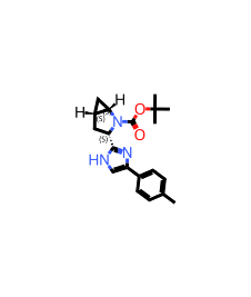 Cc1ccc(-c2c[nH]c([C@@H]3C[C@@H]4C[C@@H]4N3C(=O)OC(C)(C)C)n2)cc1